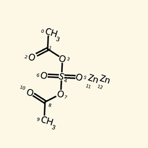 CC(=O)OS(=O)(=O)OC(C)=O.[Zn].[Zn]